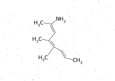 C/C=C/C(C)=C(C)\C=C(/C)N